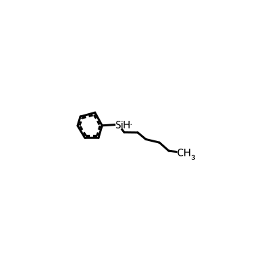 CCCCCC[SiH]c1ccccc1